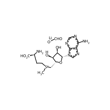 C[S+](CC[C@H](N)C(=O)O)C[C@H]1O[C@@H](n2cnc3c(N)ncnc32)[C@H](O)[C@@H]1O.O=C[O-].[Li]